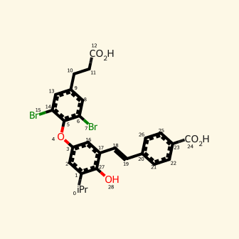 CC(C)c1cc(Oc2c(Br)cc(CCC(=O)O)cc2Br)cc(C=Cc2ccc(C(=O)O)cc2)c1O